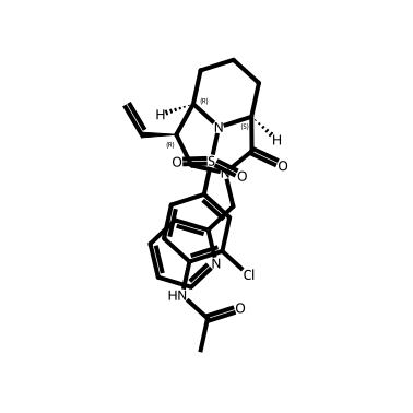 C=C[C@@H]1CN(Cc2ccccn2)C(=O)[C@@H]2CCC[C@H]1N2S(=O)(=O)c1ccc(NC(C)=O)c(Cl)c1